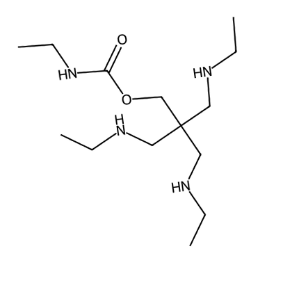 CCNCC(CNCC)(CNCC)COC(=O)NCC